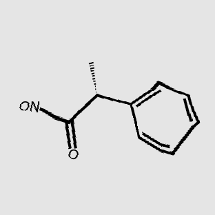 C[C@@H](C(=O)N=O)c1ccccc1